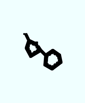 [CH2]c1ccc(-c2ccccc2)s1